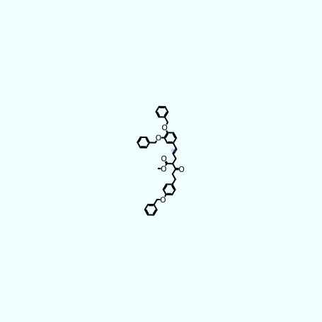 COC(=O)C(C/C=C/c1ccc(OCc2ccccc2)c(OCc2ccccc2)c1)C(=O)CCc1ccc(OCc2ccccc2)cc1